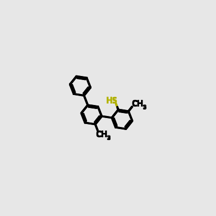 Cc1ccc(-c2ccccc2)cc1-c1cccc(C)c1S